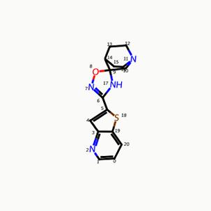 c1cnc2cc(C3=NOC4(CN5CCC4CC5)N3)sc2c1